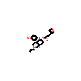 C=CCN1CC[C@@]2(c3cccc(O)c3)C[C@@H](NC(=O)C=Cc3ccoc3)CC[C@@H]2C1